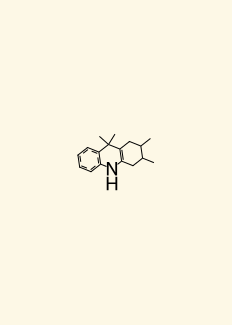 CC1CC2=C(CC1C)C(C)(C)c1ccccc1N2